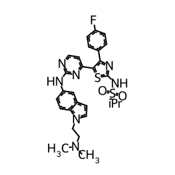 CC(C)S(=O)(=O)Nc1nc(-c2ccc(F)cc2)c(-c2ccnc(Nc3ccc4c(ccn4CCN(C)C)c3)n2)s1